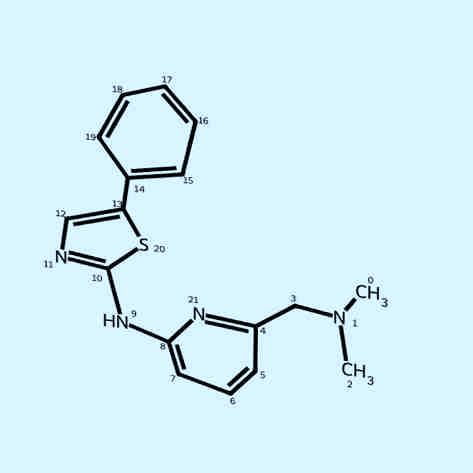 CN(C)Cc1cccc(Nc2ncc(-c3ccccc3)s2)n1